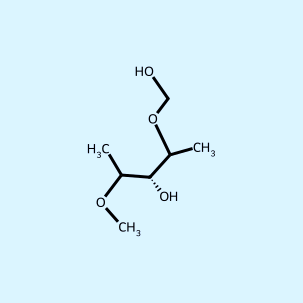 COC(C)[C@@H](O)C(C)OCO